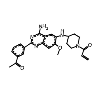 C=CC(=O)N1CCC(Nc2cc3c(N)nc(-c4cccc(C(C)=O)c4)nc3cc2OC)CC1